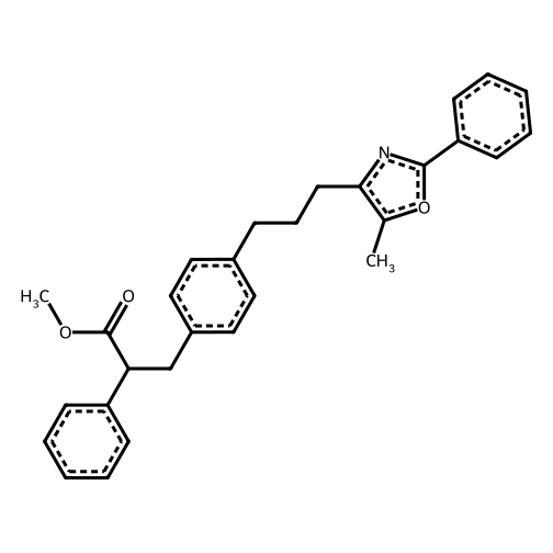 COC(=O)C(Cc1ccc(CCCc2nc(-c3ccccc3)oc2C)cc1)c1ccccc1